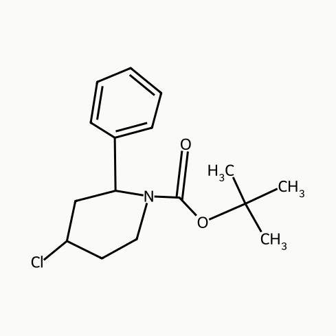 CC(C)(C)OC(=O)N1CCC(Cl)CC1c1ccccc1